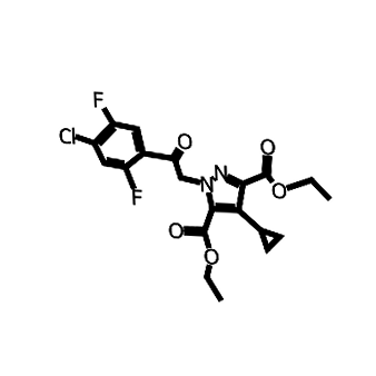 CCOC(=O)c1nn(CC(=O)c2cc(F)c(Cl)cc2F)c(C(=O)OCC)c1C1CC1